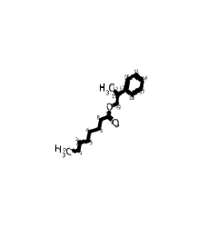 CCCCCCCC(=O)OCC(C)c1ccccc1